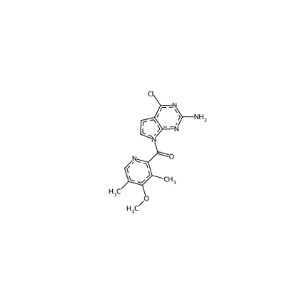 COc1c(C)cnc(C(=O)n2ccc3c(Cl)nc(N)nc32)c1C